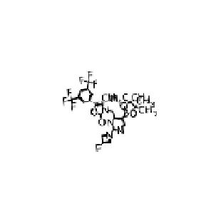 C[C@H]1[C@@H](c2cc(C(F)(F)F)cc(C(F)(F)F)c2)OC(=O)N1Cc1nc(N2CC(F)C2)ncc1B1OC(C)(C)C(C)(C)O1